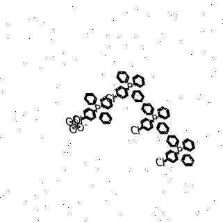 Clc1ccc([P+](c2ccccc2)(c2ccccc2)c2ccccc2)cc1.Clc1ccc([P+](c2ccccc2)(c2ccccc2)c2ccccc2)cc1.Clc1ccc([P+](c2ccccc2)(c2ccccc2)c2ccccc2)cc1.Clc1ccc([P+](c2ccccc2)(c2ccccc2)c2ccccc2)cc1.[O-][Si]([O-])([O-])[O-]